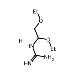 CCOCC(NC(=N)N)OCC.I